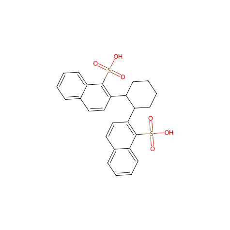 O=S(=O)(O)c1c(C2CCCCC2c2ccc3ccccc3c2S(=O)(=O)O)ccc2ccccc12